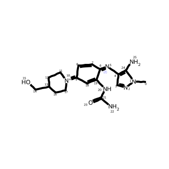 Cn1ncc(/N=C2/C=CC(=[N+]3CCC(CO)CC3)C=C2NC(N)=O)c1N